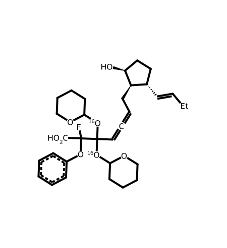 CC/C=C/[C@H]1CC[C@H](O)[C@@H]1CC=C=CC([16O]C1CCCCO1)([16O]C1CCCCO1)C(F)(Oc1ccccc1)C(=O)O